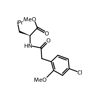 COC(=O)[C@H](CC(C)C)NC(=O)Cc1ccc(Cl)cc1OC